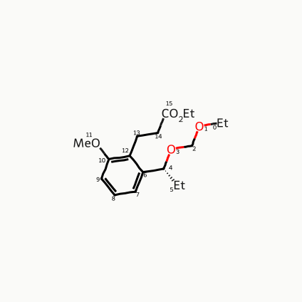 CCOCO[C@H](CC)c1cccc(OC)c1CCC(=O)OCC